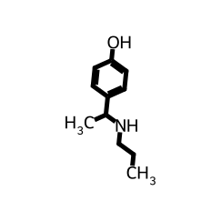 CCCNC(C)c1ccc(O)cc1